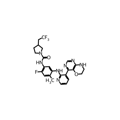 Cc1cc(F)c(NC(=O)N2CCC(CC(F)(F)F)C2)cc1Nc1ncccc1-c1ncnc2c1OCCN2